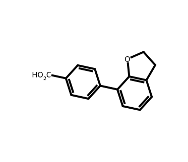 O=C(O)c1ccc(-c2cccc3c2OCC3)cc1